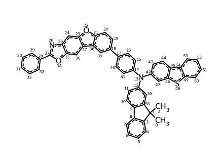 CC1(C)c2ccccc2-c2ccc(N(c3ccc(-c4ccc5oc6cc7nc(-c8ccccc8)oc7cc6c5c4)cc3)c3ccc4c(c3)sc3ccccc34)cc21